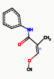 C/C(=C/OC#N)C(=O)Nc1ccccc1